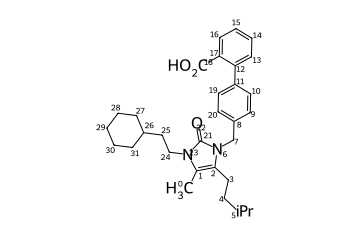 Cc1c(CCC(C)C)n(Cc2ccc(-c3ccccc3C(=O)O)cc2)c(=O)n1CCC1CCCCC1